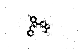 O=C(O)c1c[nH]c2ncc(-c3nn(Cc4cccnc4)c4cc(F)ccc34)nc12